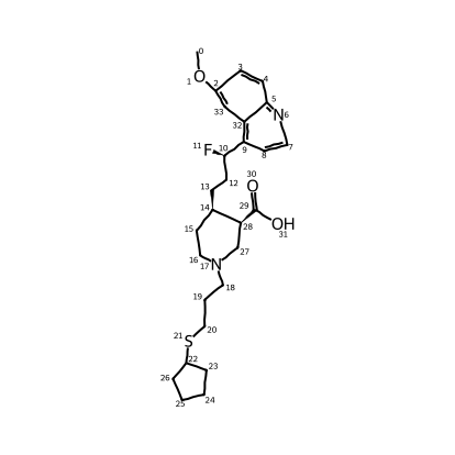 COc1ccc2nccc([C@H](F)CC[C@@H]3CCN(CCCSC4CCCC4)C[C@@H]3C(=O)O)c2c1